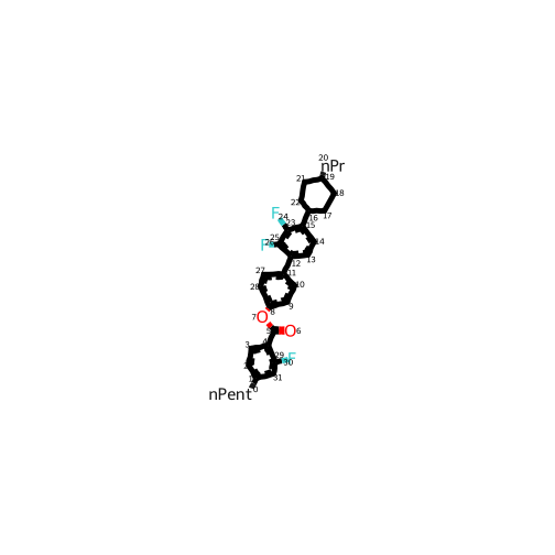 CCCCCc1ccc(C(=O)Oc2ccc(-c3ccc(C4CCC(CCC)CC4)c(F)c3F)cc2)c(F)c1